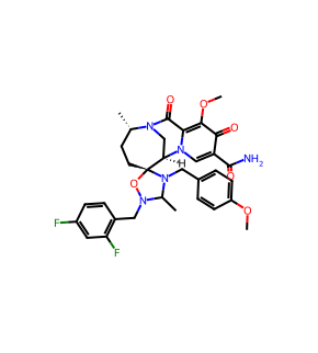 COc1ccc(CN2C(C)N(Cc3ccc(F)cc3F)O[C@@]23CC[C@H](C)N2C[C@H]3n3cc(C(N)=O)c(=O)c(OC)c3C2=O)cc1